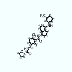 O=C(Nc1cccc2c(Nc3cccc(C(F)(F)F)c3)ncnc12)c1c(Cl)ccc(CNC(=O)[C@@H]2CCCO2)c1F